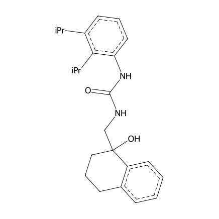 CC(C)c1cccc(NC(=O)NCC2(O)CCCc3ccccc32)c1C(C)C